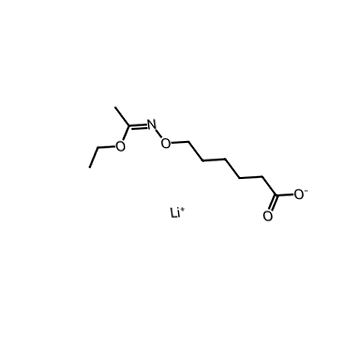 CCO/C(C)=N\OCCCCCC(=O)[O-].[Li+]